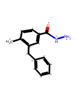 Cc1ccc(C(=O)NN)cc1Cc1ccccc1